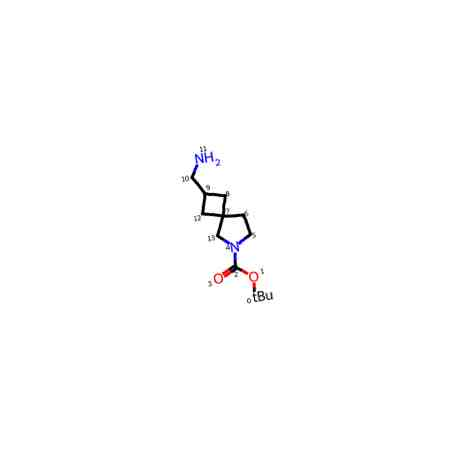 CC(C)(C)OC(=O)N1CCC2(CC(CN)C2)C1